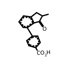 CC1Cc2cccc(-c3ccc(C(=O)O)cc3)c2C1=O